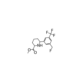 COC(=O)C1CCCC(c2cc(CF)cc(C(F)(F)F)c2)N1